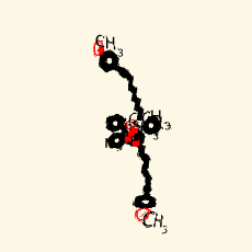 COc1ccc(C#CCCCCCCCC(C)(C)[Si](O[Si](c2ccccc2)(c2ccccc2)C(C)(C)CCCCCCCC#Cc2ccc(OC)cc2)(c2ccccc2)c2ccccc2)cc1